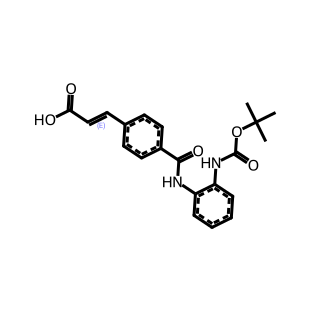 CC(C)(C)OC(=O)Nc1ccccc1NC(=O)c1ccc(/C=C/C(=O)O)cc1